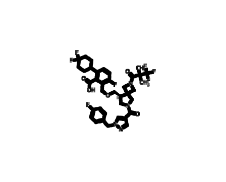 CC(C)(C(=O)N1CC2(CN(C(=O)c3cnn(Cc4ccc(F)cc4)c3)C[C@H]2COCc2c(F)ccc(C3CCC(F)(F)CC3)c2C(=O)O)C1)C(F)(F)F